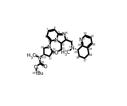 CN(CC1N=C2C=CC=C(N3CC[C@@H](N(C)C(=O)OC(C)(C)C)C3)N2C1CO)[C@H]1CCCc2cccnc21